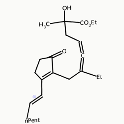 CCCCC/C=C/C1=C(CC(=C=CCC(C)(O)C(=O)OCC)CC)C(=O)CC1